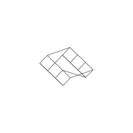 C12C3C4C1C15C2C2C6C7C8C6C21C81C7C3C451